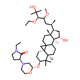 CCO[C@H](C(C[C@@H](C)[C@H]1C[C@H](O)[C@@]2(C)C3CC[C@H]4C(C)(C)[C@@H](O[C@H]5CN([C@H]6CCN(CC)C6=O)CCO5)CC[C@@]45CC35CC[C@]12C)OC)C(C)(C)O